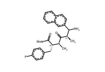 CNC(=O)[C@@H](Cc1ccc(F)cc1)N(C)C(=O)[C@H](C)C(N)c1ccc2ccccc2c1